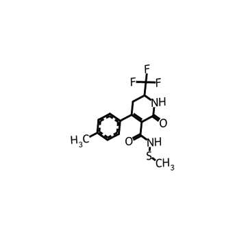 CSNC(=O)C1=C(c2ccc(C)cc2)CC(C(F)(F)F)NC1=O